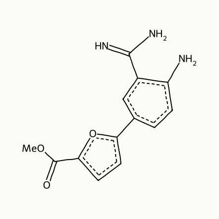 COC(=O)c1ccc(-c2ccc(N)c(C(=N)N)c2)o1